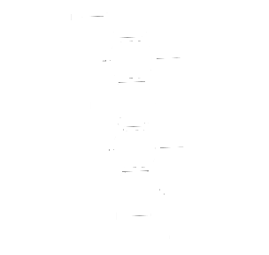 CCC(CC)Nc1c(C)cnc(Oc2c(C)cc(CO)cc2C)c1C